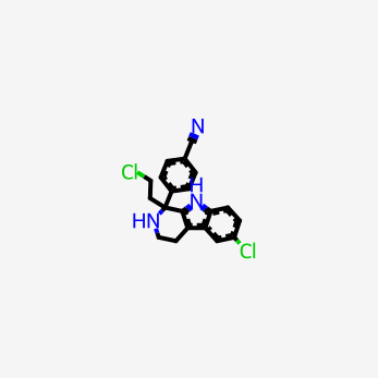 N#Cc1ccc(C2(CCCl)NCCc3c2[nH]c2ccc(Cl)cc32)cc1